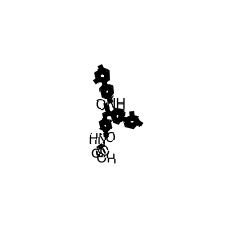 Cc1ccc(-c2ccc(NC(=O)C(Cc3ccc(C(=O)NCCS(=O)(=O)O)cc3)c3ccc(-c4ccc(C)cc4C)cc3)cc2)c(C)c1